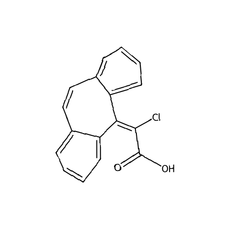 O=C(O)C(Cl)=C1c2ccccc2C=Cc2ccccc21